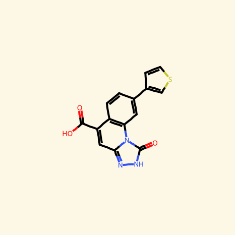 O=C(O)c1cc2n[nH]c(=O)n2c2cc(-c3ccsc3)ccc12